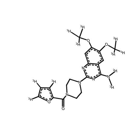 [2H]c1oc(C(=O)N2CCN(c3nc(N([2H])[2H])c4cc(OC([2H])([2H])[2H])c(OC([2H])([2H])[2H])cc4n3)CC2)c([2H])c1[2H]